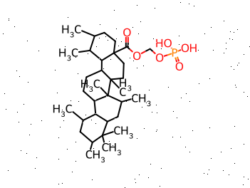 CC1CCC2(C(=O)OCOP(=O)(O)O)CCC3(C)C(CCC4C5C(C)CC(C)C(C)(C)C5CC(C)C43C)C2C1C